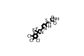 O=C1NOCC1NC(=S)c1ccc(C2=NCC(c3cc(Cl)c(Cl)c(Cl)c3)(C(F)(F)F)C2)nc1